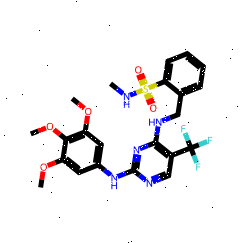 CNS(=O)(=O)c1ccccc1CNc1nc(Nc2cc(OC)c(OC)c(OC)c2)ncc1C(F)(F)F